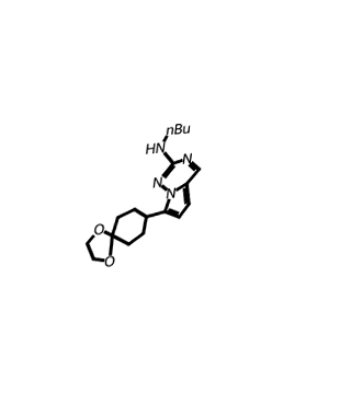 CCCCNc1ncc2ccc(C3CCC4(CC3)OCCO4)n2n1